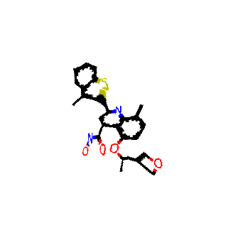 Cc1c(-c2cc(C(=O)N=O)c3c(O[C@H](C)C4COC4)ccc(C)c3n2)sc2ccccc12